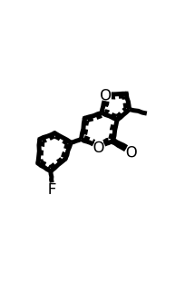 Cc1coc2cc(-c3cccc(F)c3)oc(=O)c12